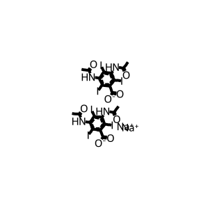 CC(=O)Nc1c(I)c(NC(C)=O)c(I)c(C(=O)[O-])c1I.CC(=O)Nc1c(I)c(NC(C)=O)c(I)c(C(=O)[O-])c1I.[Na+].[Na+]